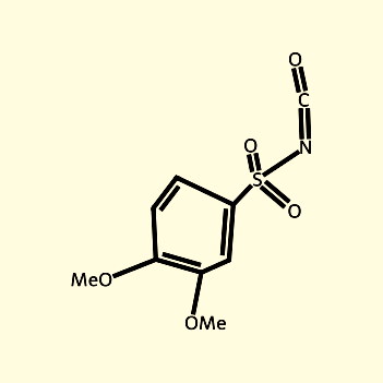 COc1ccc(S(=O)(=O)N=C=O)cc1OC